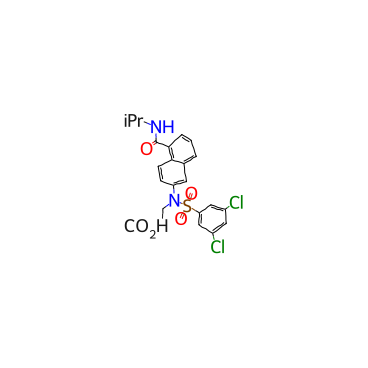 CC(C)NC(=O)c1cccc2cc(N(CC(=O)O)S(=O)(=O)c3cc(Cl)cc(Cl)c3)ccc12